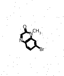 Cn1c(=O)cnc2ccc(Br)cc21